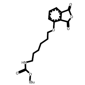 CC(C)(C)OC(=O)NCCCCCCOc1cccc2c1C(=O)OC2=O